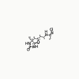 C/C(=N/Cl)NCCSC[C@@]1(C)NC(=O)NC1=O